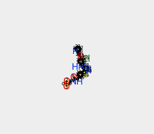 CS(=O)(=O)CCNC(=O)Cc1ccc2c(c1)sc1ncnc(NC3C=C(Cl)C(OCc4ccccn4)=CC3)c12